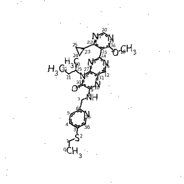 CCSc1ccc(CNc2nc3cnc(-c4c(OC)ncnc4C4CC4)nc3n([C@H](C)CC)c2=O)nc1